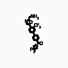 NCc1ncc(-c2ccc(-c3ccc(C(=O)N4CC(F)(F)C4)cc3)cc2C(F)(F)F)o1